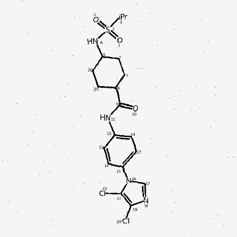 CC(C)S(=O)(=O)NC1CCC(C(=O)Nc2ccc(-n3cnc(Cl)c3Cl)cc2)CC1